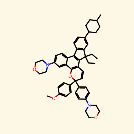 CCC1(CC)c2cc(C3CCC(C)CC3)ccc2-c2c1c1c(c3cc(N4CCOCC4)ccc23)OC(c2ccc(OC)cc2)(c2ccc(N3CCOCC3)cc2)C=C1